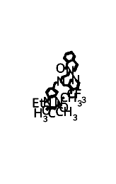 CCN1C(=O)C(C)(C)C(=O)N(C)c2cc(CN(CCn3ccc4ccccc4c3=O)Cc3cnccc3C(F)(F)F)ccc21